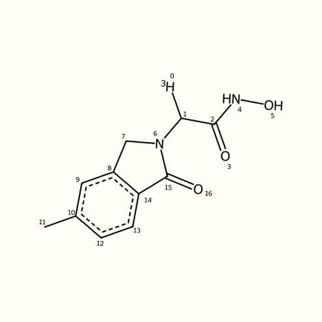 [3H]C(C(=O)NO)N1Cc2cc(C)ccc2C1=O